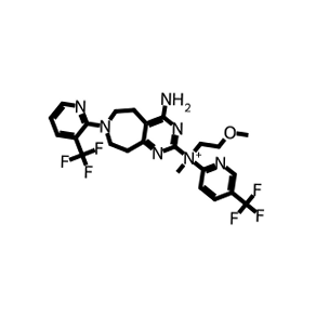 COCC[N+](C)(c1ccc(C(F)(F)F)cn1)c1nc(N)c2c(n1)CCN(c1ncccc1C(F)(F)F)CC2